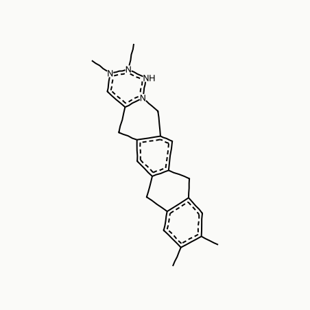 Cc1cc2c(cc1C)Cc1cc3c(cc1C2)Cc1cn(C)n(C)[nH]n1C3